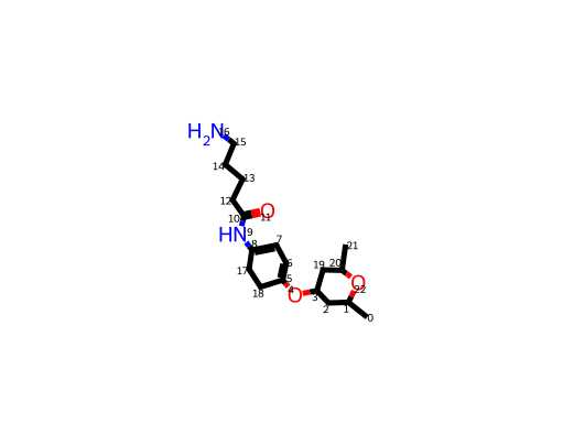 CC1CC(OC2=CC=C(NC(=O)CCCCN)CC2)CC(C)O1